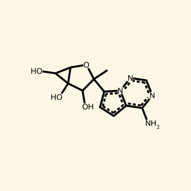 CC1(c2ccc3c(N)ncnn23)OC2C(O)C2(O)C1O